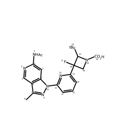 CC(=O)Nc1cc2c(cn1)c(C)nn2-c1cccc(C2(F)CN(C(=O)O)C2C(C)(C)C)n1